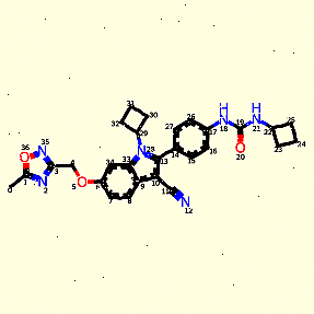 Cc1nc(COc2ccc3c(C#N)c(-c4ccc(NC(=O)NC5CCC5)cc4)n(C4CCC4)c3c2)no1